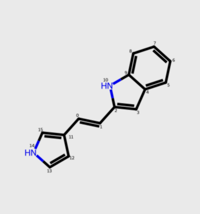 C(=C\c1cc2ccccc2[nH]1)/c1cc[nH]c1